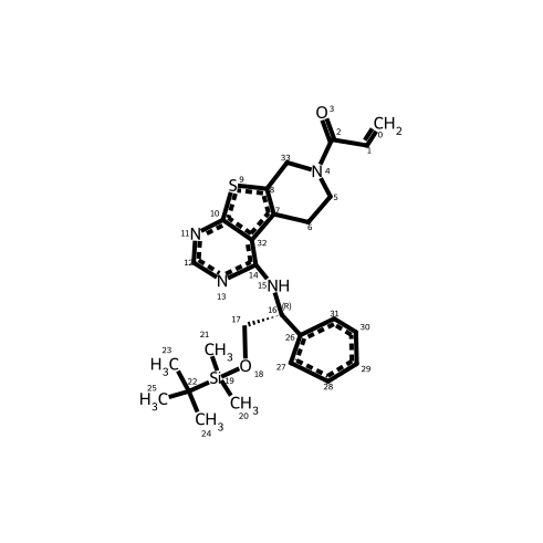 C=CC(=O)N1CCc2c(sc3ncnc(N[C@@H](CO[Si](C)(C)C(C)(C)C)c4ccccc4)c23)C1